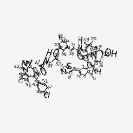 Cc1ncsc1-c1ccc([C@H](C)NC(=O)[C@@H]2C[C@@H](O)CN2C(=O)[C@@H](NC(=O)/C=C/c2cc(F)cc(OC(C)CNC(=O)C[C@@H]3N=C(c4ccc(Cl)cc4)c4c(sc(C)c4C)-n4c(C)nnc43)c2)C(C)(C)C)cc1